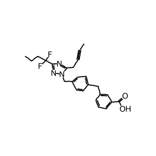 CC#CCc1nc(C(F)(F)CCC)nn1Cc1ccc(Cc2cccc(C(=O)O)c2)cc1